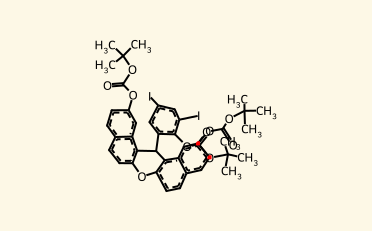 CC(C)(C)OC(=O)Oc1ccc2ccc3c(c2c1)C(c1cc(I)cc(I)c1OC(=O)OC(C)(C)C)c1c(ccc2ccc(OC(=O)OC(C)(C)C)cc12)O3